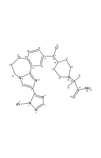 CC(C)n1ncnc1-c1cn2c(n1)-c1cc([S+]([O-])C3CCN(C(C)(C)C(N)=O)CC3)ccc1OCC2